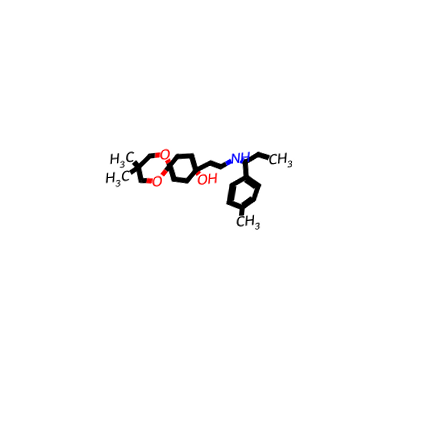 CCC(NCCC1(O)CCC2(CC1)OCC(C)(C)CO2)c1ccc(C)cc1